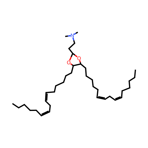 CCCCC/C=C\C/C=C\CCCCCC1OC(CCN(C)C)OC1CCCCC/C=C\C/C=C\CCCCC